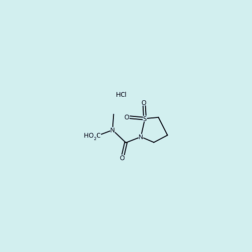 CN(C(=O)O)C(=O)N1CCCS1(=O)=O.Cl